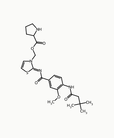 COc1cc(C(=O)N=c2sccn2COC(=O)C2CCCN2)ccc1NC(=O)CC(C)(C)C